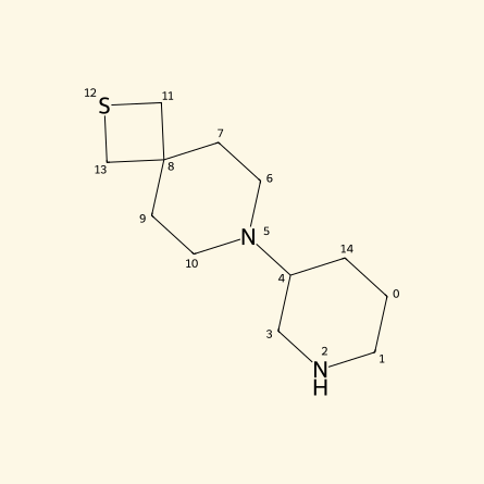 C1CNCC(N2CCC3(CC2)CSC3)C1